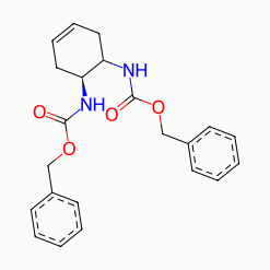 O=C(NC1CC=CC[C@@H]1NC(=O)OCc1ccccc1)OCc1ccccc1